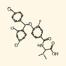 CC(C)C(NC(=O)c1ccc(OC(c2ccc(Cl)cc2)c2ccc(Cl)cc2Cl)c(F)c1)C(=O)O